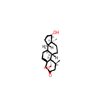 C[C@H]1CC(=O)CC2=CC[C@H]3[C@@H]4CC[C@H](O)[C@@]4(C)CC[C@@H]3[C@]21CO